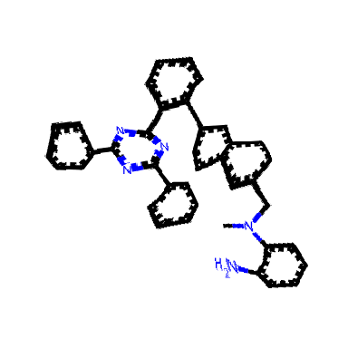 CN(Cc1ccc2cc(-c3ccccc3-c3nc(-c4ccccc4)nc(-c4ccccc4)n3)ccc2c1)c1ccccc1N